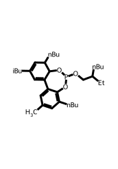 CCCCc1cc(C)cc2c1OP(OCC(CC)CCCC)OC1C2=CC(C(C)CC)=CC1CCCC